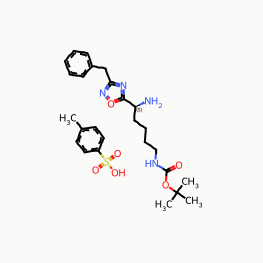 CC(C)(C)OC(=O)NCCCC[C@H](N)c1nc(Cc2ccccc2)no1.Cc1ccc(S(=O)(=O)O)cc1